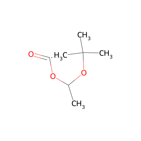 CC(O[C]=O)OC(C)(C)C